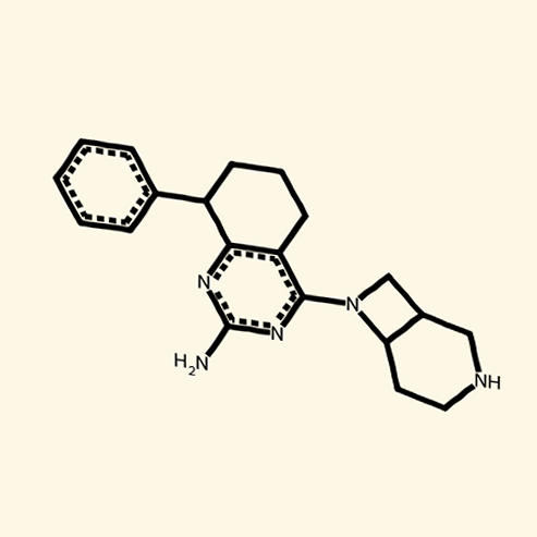 Nc1nc2c(c(N3CC4CNCCC43)n1)CCCC2c1ccccc1